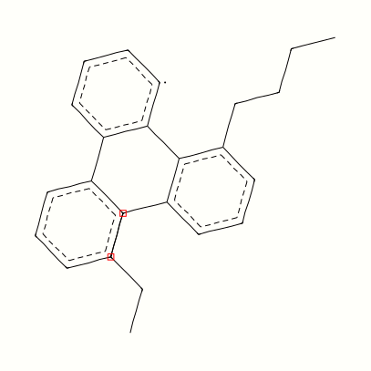 CCCCc1cccc(CCCC)c1-c1[c]cccc1-c1ccccc1